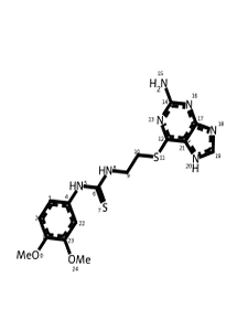 COc1ccc(NC(=S)NCCSc2nc(N)nc3nc[nH]c23)cc1OC